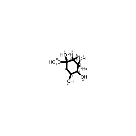 [2H]C1(O)C(O)C(O)CC(O)(C(=O)O)C1([2H])[2H]